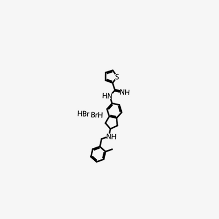 Br.Br.Cc1ccccc1CNC1Cc2ccc(NC(=N)c3cccs3)cc2C1